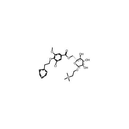 COc1cc(C(=O)OC[C@H]2O[C@@H](OCCS(C)(C)C)[C@H](O)[C@@H](O)[C@@H]2O)cc(Cl)c1OCCc1ccccc1